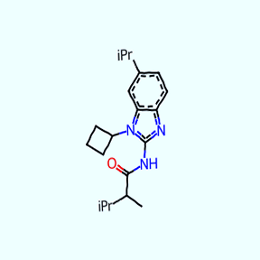 CC(C)c1ccc2nc(NC(=O)C(C)C(C)C)n(C3CCC3)c2c1